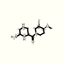 CO[C@H]1CCN(C(=O)C2CNCC(N)N2)C[C@H]1F